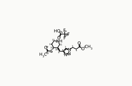 COC(=O)CCn1cc(/C=C2\CNCCC2SC(C)=O)nn1.O=C(O)C(F)(F)F